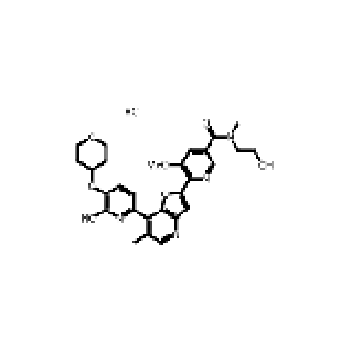 COc1cc(C(=O)N(C)CCO)cnc1-c1cc2ncc(C)c(-c3ccc(OC4CCOCC4)c(C#N)n3)c2o1.Cl